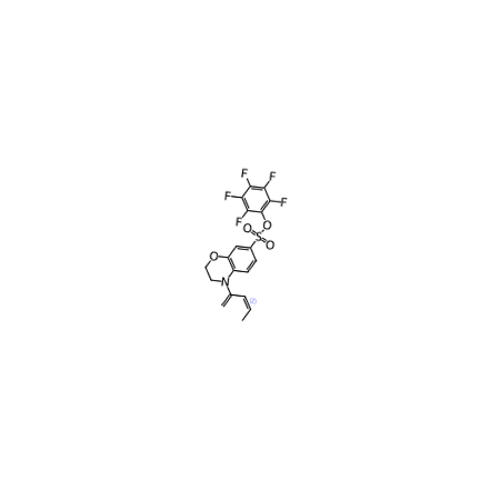 C=C(/C=C\C)N1CCOc2cc(S(=O)(=O)Oc3c(F)c(F)c(F)c(F)c3F)ccc21